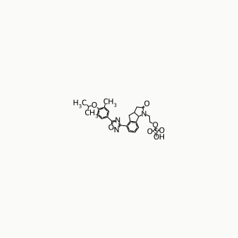 Cc1cc(-c2nc(-c3cccc4c3CC3CC(=O)N(CCOS(=O)(=O)O)C43)no2)ccc1OC(C)C